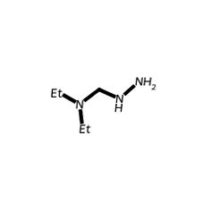 CCN(CC)CNN